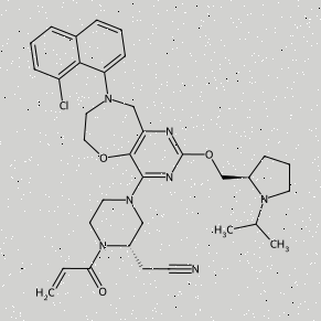 C=CC(=O)N1CCN(c2nc(OC[C@H]3CCCN3C(C)C)nc3c2OCCN(c2cccc4cccc(Cl)c24)C3)C[C@@H]1CC#N